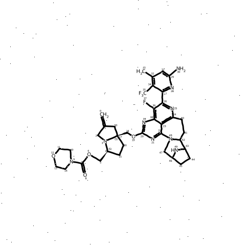 C=C1CN2[C@H](COC(=O)N3CCOCC3)CC[C@@]2(COc2nc3c4c(nc(-c5nc(N)cc(C)c5C(F)(F)F)c(F)c4n2)CCC2C4CCC(CN32)N4)C1